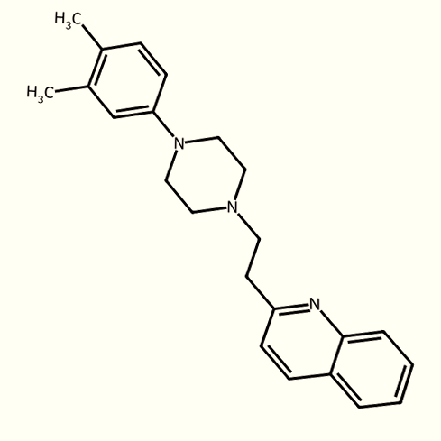 Cc1ccc(N2CCN(CCc3ccc4ccccc4n3)CC2)cc1C